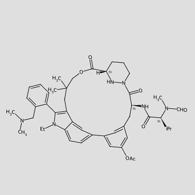 CCn1c(-c2ccccc2CN(C)C)c2c3cc(ccc31)-c1cc(cc(OC(C)=O)c1)C[C@H](NC(=O)[C@H](C(C)C)N(C)C=O)C(=O)N1CCC[C@H](N1)C(=O)OCC(C)(C)C2